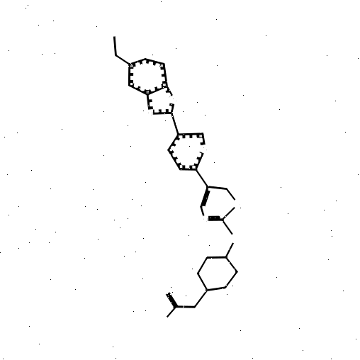 CCc1ccc2nc(-c3ccc(C4=CN=C(OC5CCC(CC(=O)O)CC5)NC4)nc3)[nH]c2c1